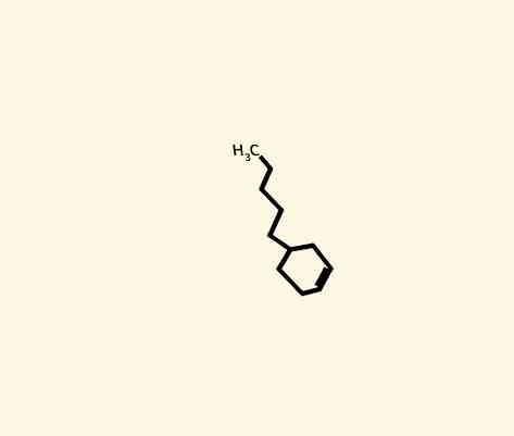 CCCCCC1CC=CCC1